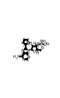 B[PH]1(O)OC[C@H]2O[C@@H](n3c(-c4ccco4)nc4c(N)ncnc43)C(O)[C@@H]2O1